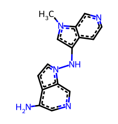 Cn1cc(Nn2ccc3c(N)cncc32)c2ccncc21